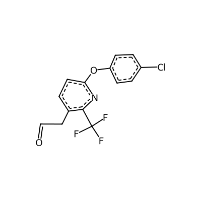 O=CCc1ccc(Oc2ccc(Cl)cc2)nc1C(F)(F)F